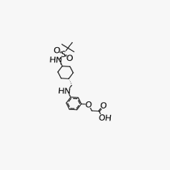 CC(C)(C)S(=O)(=O)N[C@H]1CC[C@H](CNc2cccc(OCC(=O)O)c2)CC1